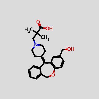 CC(C)(CN1CCC(=C2c3ccccc3COc3ccc(CO)cc32)CC1)C(=O)O